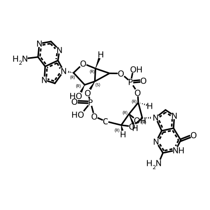 Nc1nc2c(ncn2[C@@H]2O[C@@H]3COP(=O)(O)O[C@]45C(OP(=O)(O)O[C@@H]2[C@@H]3O)[C@H]4O[C@@H](n2cnc3c(N)ncnc32)[C@@H]5O)c(=O)[nH]1